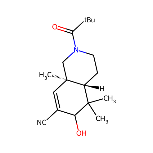 CC(C)(C)C(=O)N1CC[C@@H]2C(C)(C)C(O)C(C#N)=C[C@@]2(C)C1